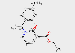 CCOC(=O)c1cccn(C(C)c2ccc(C)cc2)c1=O